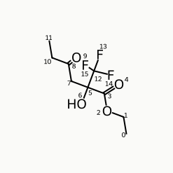 CCOC(=O)C(O)(CC(=O)CC)C(F)(F)F